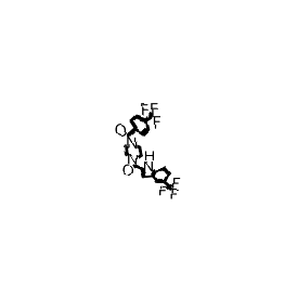 O=C(c1ccc(C(F)(F)F)cc1)N1CCN(C(=O)c2cc3cc(C(F)(F)F)ccc3[nH]2)CC1